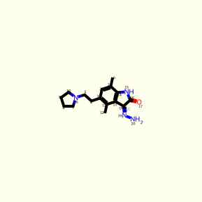 Cc1cc(CCN2CCCC2)c(C)c2c1NC(=O)/C2=N\N